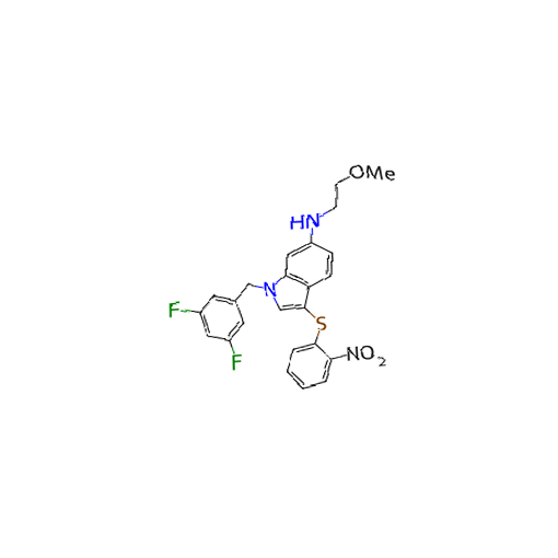 COCCNc1ccc2c(Sc3ccccc3[N+](=O)[O-])cn(Cc3cc(F)cc(F)c3)c2c1